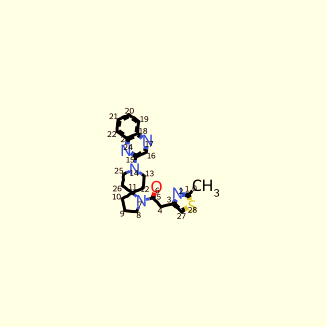 Cc1nc(CC(=O)N2CCCC23CCN(c2cnc4ccccc4n2)CC3)cs1